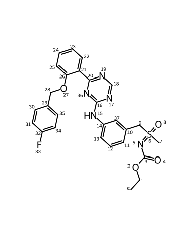 CCOC(=O)N=S(C)(=O)Cc1cccc(Nc2ncnc(-c3ccccc3OCc3ccc(F)cc3)n2)c1